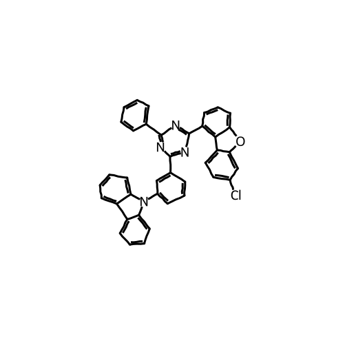 Clc1ccc2c(c1)oc1cccc(-c3nc(-c4ccccc4)nc(-c4cccc(-n5c6ccccc6c6ccccc65)c4)n3)c12